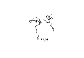 CC#CC[C@@H](C)[C@H](O)C=C[C@H]1CCC(=O)N1CCCCCCC(=O)O